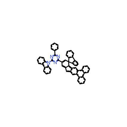 C1=C2C=c3cc4c5ccccc5c5ccccc5c4cc3=C2C2(C=C1c1nc(-c3ccccc3)nc(-n3c4ccccc4c4ccccc43)n1)c1ccccc1-c1ccccc12